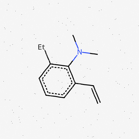 C=Cc1cccc(CC)c1N(C)C